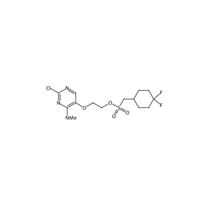 CNc1nc(Cl)ncc1OCCOS(=O)(=O)CC1CCC(F)(F)CC1